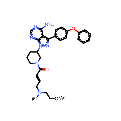 COCCN(CC=CC(=O)N1CCCC(n2nc(-c3ccc(Oc4ccccc4)cc3)c3c(N)ncnc32)C1)C(C)C